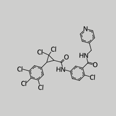 O=C(NCc1ccncc1)c1cc(NC(=O)C2C(c3cc(Cl)c(Cl)c(Cl)c3)C2(Cl)Cl)ccc1Cl